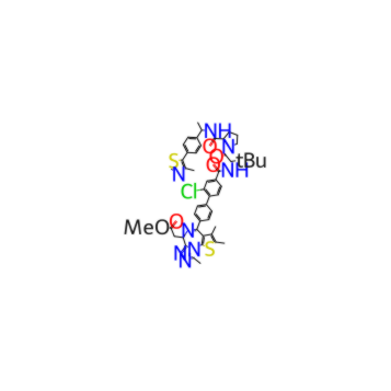 COC(=O)CC1N=C(c2ccc(-c3ccc(C(=O)NC(C(=O)N4CCCC4C(=O)NC(C)c4ccc(-c5scnc5C)cc4)C(C)(C)C)cc3Cl)cc2)c2c(sc(C)c2C)-n2c(C)nnc21